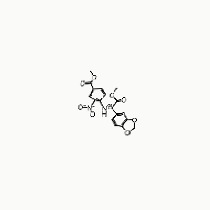 COC(=O)c1ccc(N[C@H](C(=O)OC)c2ccc3c(c2)OCO3)c([N+](=O)[O-])c1